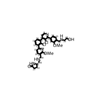 COc1cc(-c2nccc(-c3cccc(-c4ccc(CNC[C@H]5CCC(=O)N5)c(OC)n4)c3Cl)c2Cl)ccc1CNCCO